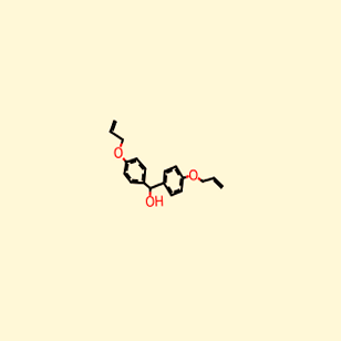 C=CCOc1ccc(C(O)c2ccc(OCC=C)cc2)cc1